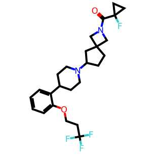 O=C(N1CC2(CCC(N3CCC(c4ccccc4OCCC(F)(F)F)CC3)C2)C1)C1(F)CC1